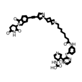 CC1(NC(=O)O)CC=NC=C1c1nccnc1Sc1cccc(NC(=O)CCCCCCCN2CC3(CC(n4cc(C#Cc5ccc6c(c5)CN(C5CCC(=O)NC5=O)C6=O)cn4)C3)C2)c1